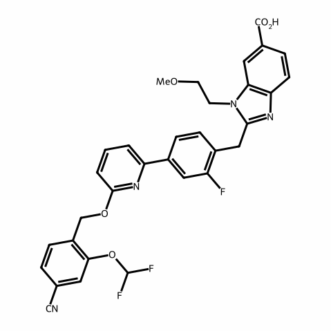 COCCn1c(Cc2ccc(-c3cccc(OCc4ccc(C#N)cc4OC(F)F)n3)cc2F)nc2ccc(C(=O)O)cc21